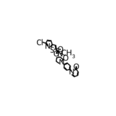 CN(C1CCCN(c2ccc(-n3ccccc3=O)cc2)C1=O)S(=O)(=O)c1cc2ccc(Cl)nc2s1